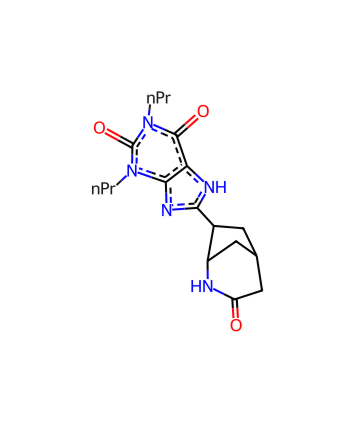 CCCn1c(=O)c2[nH]c(C3CC4CC(=O)NC3C4)nc2n(CCC)c1=O